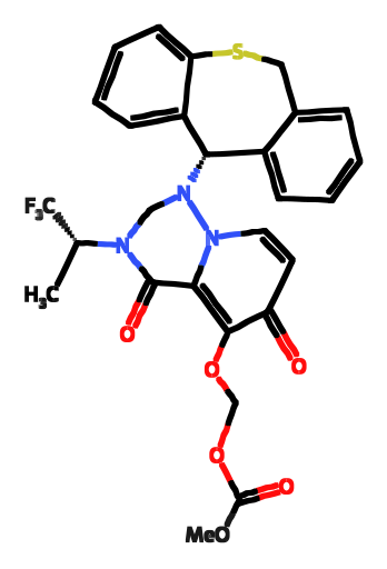 COC(=O)OCOc1c2n(ccc1=O)N([C@H]1c3ccccc3CSc3ccccc31)CN([C@H](C)C(F)(F)F)C2=O